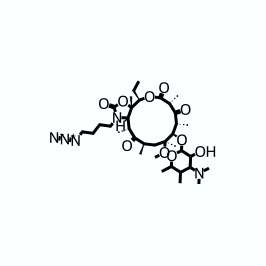 CC[C@H]1OC(=O)[C@H](C)C(=O)[C@H](C)[C@@H](OC2OC(C)C(C)C(N(C)C)C2O)[C@@](C)(OC)C[C@@H](C)C(=O)[C@H](C)[C@H]2N(CCCCN=[N+]=[N-])C(=O)O[C@]12C